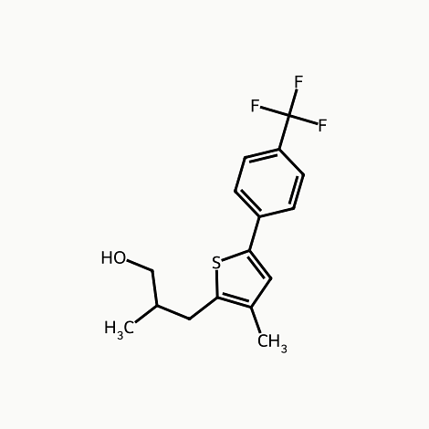 Cc1cc(-c2ccc(C(F)(F)F)cc2)sc1CC(C)CO